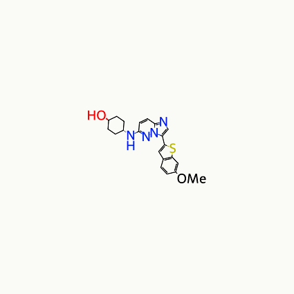 COc1ccc2cc(-c3cnc4ccc(N[C@H]5CC[C@H](O)CC5)nn34)sc2c1